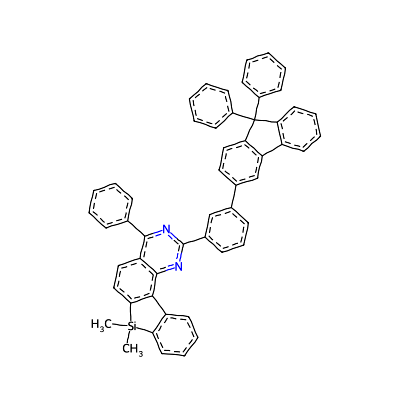 C[Si]1(C)c2ccccc2-c2c1ccc1c(-c3ccccc3)nc(-c3cccc(-c4ccc5c(c4)-c4ccccc4C5(c4ccccc4)c4ccccc4)c3)nc21